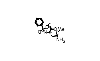 COC(=O)[C@H](CC(N)=O)NS(=O)(=O)c1ccccc1